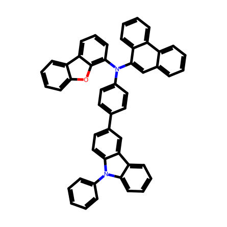 c1ccc(-n2c3ccccc3c3cc(-c4ccc(N(c5cc6ccccc6c6ccccc56)c5cccc6c5oc5ccccc56)cc4)ccc32)cc1